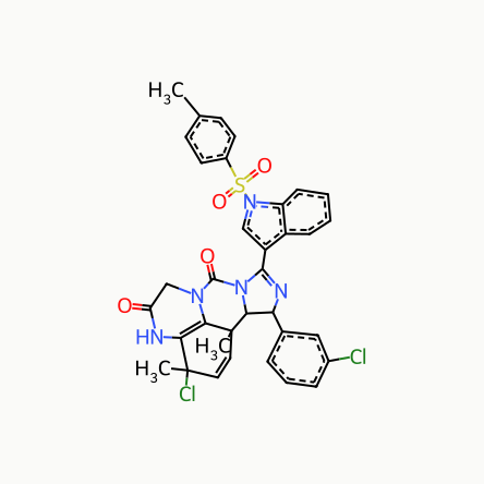 Cc1ccc(S(=O)(=O)n2cc(C3=NC(c4cccc(Cl)c4)C4N3C(=O)N3CC(=O)NC5=C3C4(C)C=CC5(C)Cl)c3ccccc32)cc1